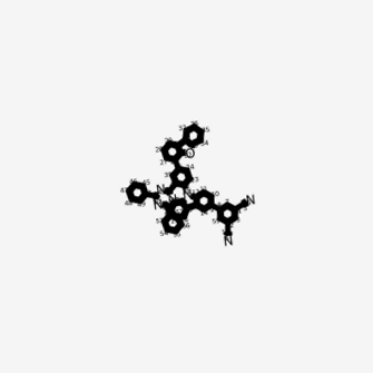 N#Cc1cc(C#N)cc(-c2ccc3c(c2)c2ccccc2n3-c2ccc(-c3cccc4c3oc3ccccc34)cc2-c2nc(-c3ccccc3)nc(-c3ccccc3)n2)c1